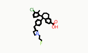 Cc1c(Cl)cccc1C1=C(c2ccc(C=C3CCN(CCCF)C3)cc2)c2ccc(C(=O)O)cc2CCC1